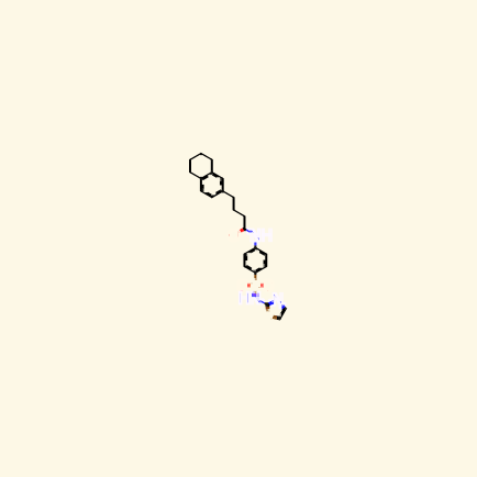 O=C(CCCc1ccc2c(c1)CCCC2)Nc1ccc(S(=O)(=O)Nc2nccs2)cc1